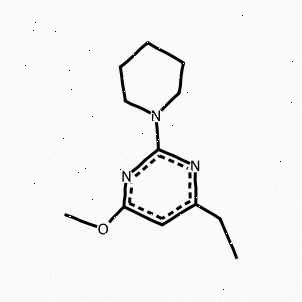 CCc1cc(OC)nc(N2CCCCC2)n1